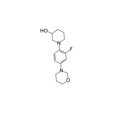 OC1CCCN(c2ccc(N3CCCOC3)cc2F)C1